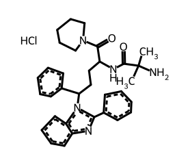 CC(C)(N)C(=O)NC(CCC(c1ccccc1)n1c(-c2ccccc2)nc2ccccc21)C(=O)N1CCCCC1.Cl